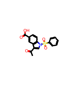 CC(=O)c1cn(S(=O)(=O)c2ccccc2)c2ccc(C(=O)O)cc12